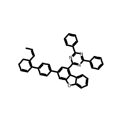 C/C=C\C1=C(c2ccc(-c3cc(-c4nc(-c5ccccc5)nc(-c5ccccc5)n4)c4c(c3)oc3ccccc34)cc2)C=CCC1